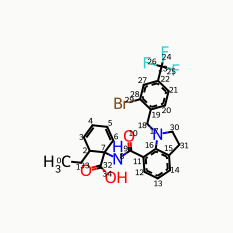 CCC1C=CC=CC1(NC(=O)c1cccc2c1N(Cc1ccc(C(F)(F)F)cc1Br)CC2)C(=O)O